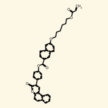 C=CC(=O)OCCCCCCOc1ccc2cc(C(=O)Oc3ccc(-c4cc5c(ccc6ccccc65)oc4=O)cc3)ccc2c1